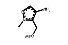 COCc1c(N)cnn1C